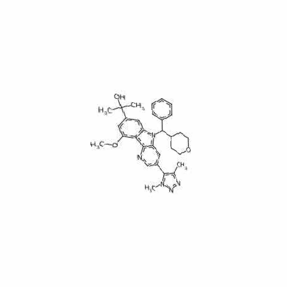 COc1cc(C(C)(C)O)cc2c1c1ncc(-c3c(C)nnn3C)cc1n2C(c1ccccc1)C1CCOCC1